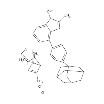 CC1=C2c3cscc3C1[Si]2(C)C.CC1=Cc2c(-c3ccc(C45CC6CC(CC(C6)C4)C5)cc3)cccc2[CH]1[Zr+2].[Cl-].[Cl-]